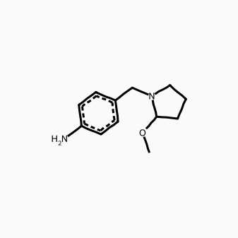 COC1CCCN1Cc1ccc(N)cc1